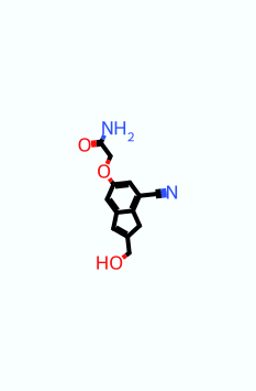 N#Cc1cc(OCC(N)=O)cc2c1CC(CO)=C2